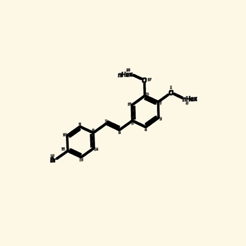 CCCCCCOc1ccc(C=Cc2ccc(Br)cc2)cc1OCCCCCC